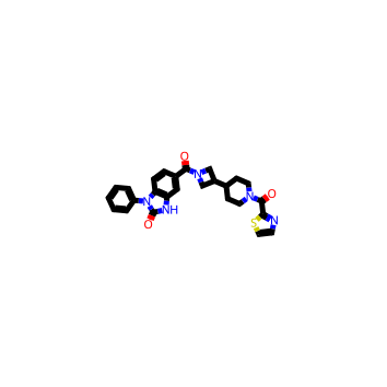 O=C(c1ccc2c(c1)[nH]c(=O)n2-c1ccccc1)N1CC(C2CCN(C(=O)c3nccs3)CC2)C1